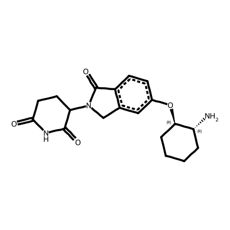 N[C@@H]1CCCC[C@H]1Oc1ccc2c(c1)CN(C1CCC(=O)NC1=O)C2=O